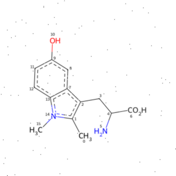 Cc1c(CC(N)C(=O)O)c2cc(O)ccc2n1C